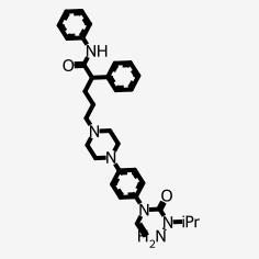 C=CN(C(=O)N(N)C(C)C)c1ccc(N2CCN(CCCC(C(=O)Nc3ccccc3)c3ccccc3)CC2)cc1